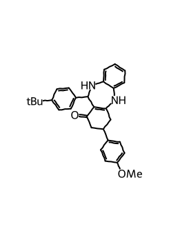 COc1ccc(C2CC(=O)C3=C(C2)Nc2ccccc2NC3c2ccc(C(C)(C)C)cc2)cc1